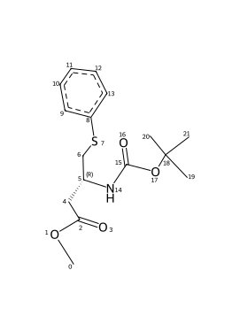 COC(=O)C[C@H](CSc1ccccc1)NC(=O)OC(C)(C)C